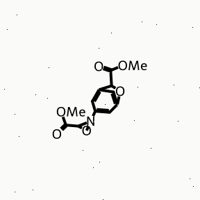 COC(=O)C1Oc2cc1cc(N1OC1C(=O)OC)c2